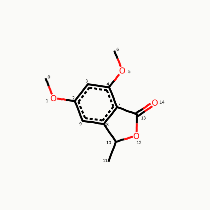 COc1cc(OC)c2c(c1)C(C)OC2=O